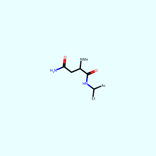 CCC(NC(=O)C(CC(N)=O)NC)C(C)=O